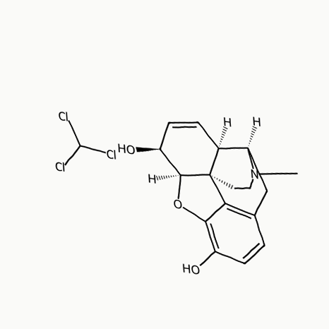 CN1CC[C@]23c4c5ccc(O)c4O[C@H]2[C@@H](O)C=C[C@H]3[C@H]1C5.ClC(Cl)Cl